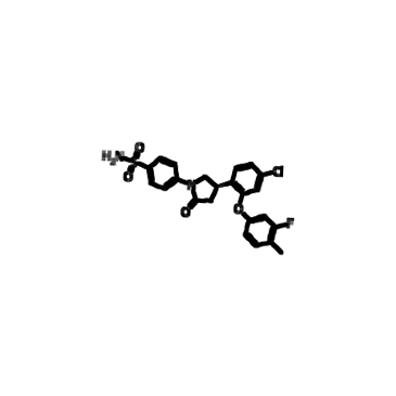 Cc1ccc(Oc2cc(Cl)ccc2[C@H]2CC(=O)N(c3ccc(S(N)(=O)=O)cc3)C2)cc1F